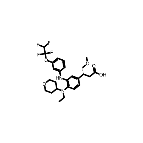 CCN(c1ccc([C@H](COC)CC(=O)O)cc1Nc1cccc(OC(F)(F)C(F)F)c1)C1CCOCC1